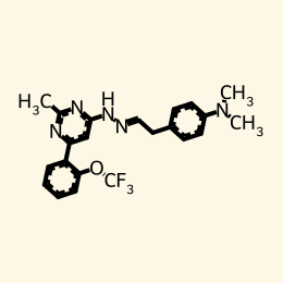 Cc1nc(NN=CCc2ccc(N(C)C)cc2)cc(-c2ccccc2OC(F)(F)F)n1